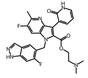 Cc1nc2c(-c3ccc[nH]c3=O)c(C(=O)OCCN(C)C)n(Cc3cc4cn[nH]c4cc3F)c2cc1F